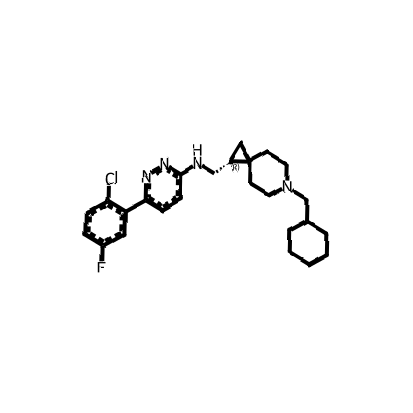 Fc1ccc(Cl)c(-c2ccc(NC[C@@H]3CC34CCN(CC3CCCCC3)CC4)nn2)c1